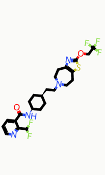 O=C(N[C@H]1CC[C@H](CCN2CCc3nc(OCC(F)(F)F)sc3CC2)CC1)c1cccnc1C(F)F